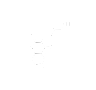 CCCCOc1c(C)sc2ccccc2c1=O